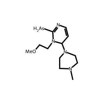 COCCN1C([AsH2])=NC=CC1N1CCN(C)CC1